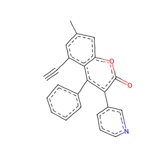 C#Cc1cc(C)cc2oc(=O)c(-c3cccnc3)c(-c3ccccc3)c12